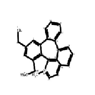 COCc1cc(CC(C)(C)C)cc2c1-c1c3c(cccc3cc[n+]1C)-c1ccccc1-2